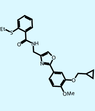 CCSc1ccccc1C(=O)NCc1coc(-c2ccc(OC)c(OCC3CC3)c2)n1